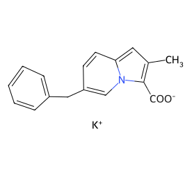 Cc1cc2ccc(Cc3ccccc3)cn2c1C(=O)[O-].[K+]